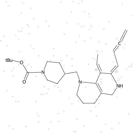 C=C=C/C=C1/NCC2=C(/C1=C/C)N(CC1CCN(C(=O)OC(C)(C)C)CC1)CCC2